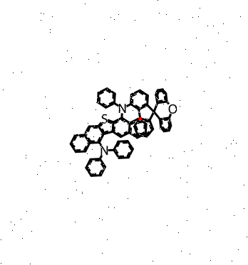 c1ccc(N(c2cccc3c2-c2ccccc2C32c3ccccc3Oc3ccccc32)c2c3ccccc3cc3c2sc2cc4ccccc4c(N(c4ccccc4)c4ccccc4)c23)cc1